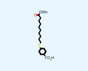 COC(=O)CCCCCCCCCSc1ccc(C(=O)O)cc1